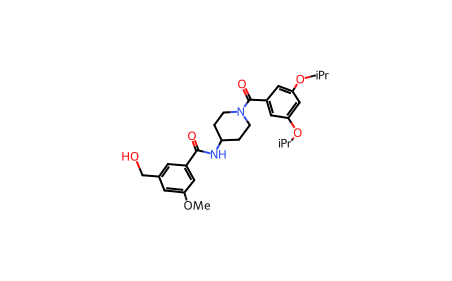 COc1cc(CO)cc(C(=O)NC2CCN(C(=O)c3cc(OC(C)C)cc(OC(C)C)c3)CC2)c1